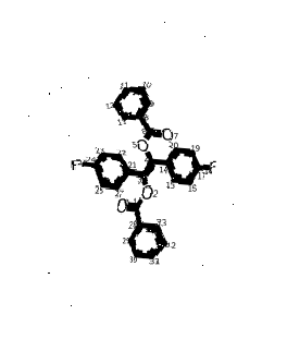 O=C(O/C(=C(/OC(=O)c1ccccc1)c1ccc(F)cc1)c1ccc(F)cc1)c1ccccc1